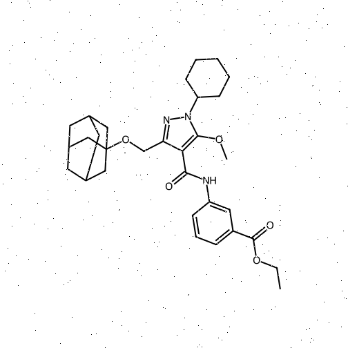 CCOC(=O)c1cccc(NC(=O)c2c(COC34CC5CC(CC(C5)C3)C4)nn(C3CCCCC3)c2OC)c1